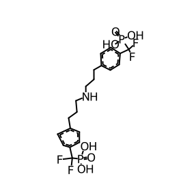 O=P(O)(O)C(F)(F)c1ccc(CCCNCCCc2ccc(C(F)(F)P(=O)(O)O)cc2)cc1